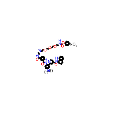 CCN(CC)c1ccc(NC(=O)c2cccc(C(=O)N(C)CCN(C)CCOCCOCCOCCNC(=O)Oc3ccc([N+](=O)[O-])cc3)c2)c(-c2cc(C(=O)N[C@H]3CCCc4ccccc43)ccn2)c1